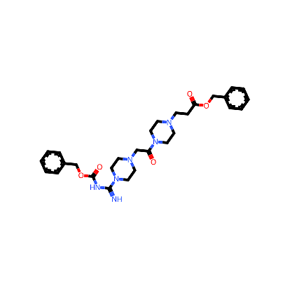 N=C(NC(=O)OCc1ccccc1)N1CCN(CC(=O)N2CCN(CCC(=O)OCc3ccccc3)CC2)CC1